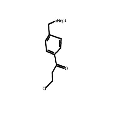 CCCCCCCCc1ccc(C(=O)CCCl)cc1